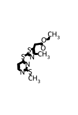 CCOC(=O)Cc1sc(Sc2ccnc(SC)n2)nc1C